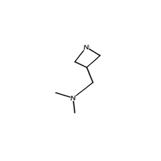 CN(C)CC1C[N]C1